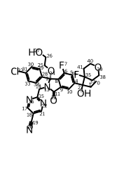 CCC(O)(c1cc(F)c2c(c1)C(=O)N(Cc1ncc(C#N)cn1)[C@@]2(OCCO)c1ccc(Cl)cc1)C1(F)CCOCC1